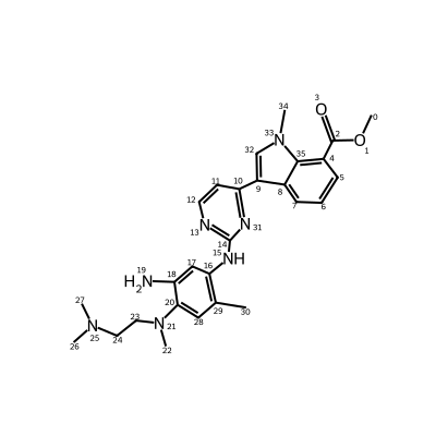 COC(=O)c1cccc2c(-c3ccnc(Nc4cc(N)c(N(C)CCN(C)C)cc4C)n3)cn(C)c12